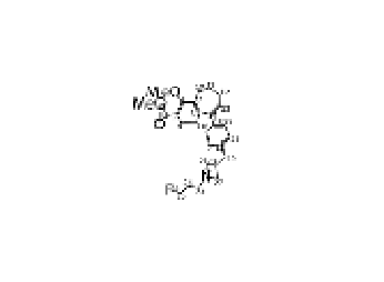 COC(=O)c1ccc2c(c1OC)CCCC=C2c1ccc(CC2CN(CCCF)C2)cc1